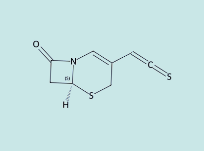 O=C1C[C@@H]2SCC(C=C=S)=CN12